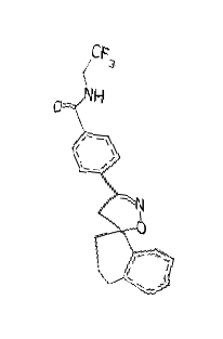 O=C(NCC(F)(F)F)c1ccc(C2=NOC3(CCCc4ccccc43)C2)cc1